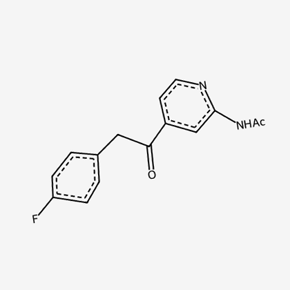 CC(=O)Nc1cc(C(=O)Cc2ccc(F)cc2)ccn1